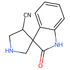 N#CC1CNCC12C(=O)Nc1ccccc12